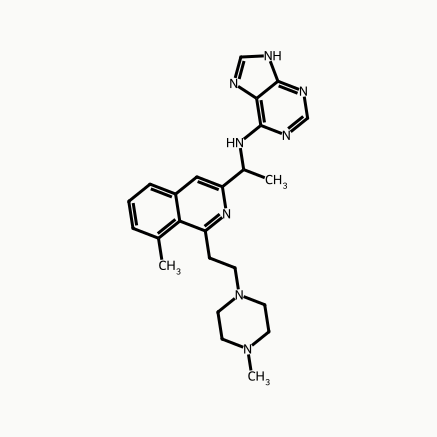 Cc1cccc2cc(C(C)Nc3ncnc4[nH]cnc34)nc(CCN3CCN(C)CC3)c12